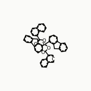 O=C([O][Ti]([O]C(=O)c1cccc2ccccc12)([c]1cccc2c1Cc1ccccc1-2)[c]1cccc2c1Cc1ccccc1-2)c1cccc2ccccc12